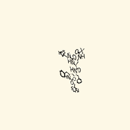 CN(Cc1cncs1)C(=O)N[C@@H](CCNC(=O)C(C)(C)C)C(=O)N[C@@H](CC[C@@H](Cc1ccccc1)NC(=O)OCc1cncs1)Cc1ccccc1